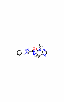 CN1C(=O)C(NC(=O)c2cn(Cc3ccccc3)nn2)[C@H]2CC2c2nccnc21